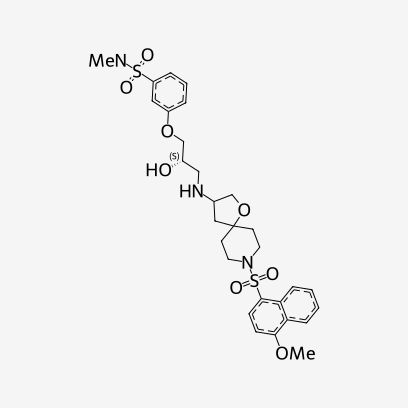 CNS(=O)(=O)c1cccc(OC[C@@H](O)CNC2COC3(CCN(S(=O)(=O)c4ccc(OC)c5ccccc45)CC3)C2)c1